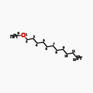 [CH2]CCOCCCCCCCCCCC(C)C